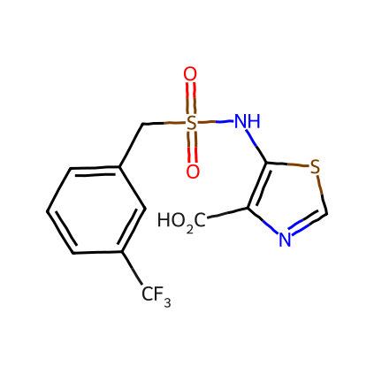 O=C(O)c1ncsc1NS(=O)(=O)Cc1cccc(C(F)(F)F)c1